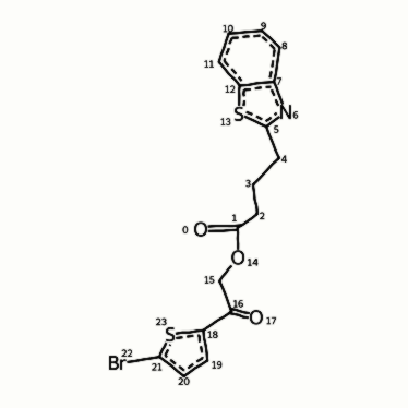 O=C(CCCc1nc2ccccc2s1)OCC(=O)c1ccc(Br)s1